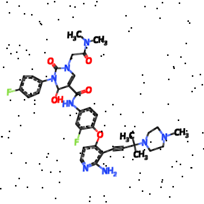 CN1CCN(C(C)(C)C#Cc2c(Oc3ccc(NC(=O)C4=CN(CC(=O)N(C)C)C(=O)N(c5ccc(F)cc5)C4O)cc3F)ccnc2N)CC1